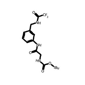 CC(C)(C)OC(=O)NCC(=O)Nc1cccc(CNC(=O)C(F)(F)F)c1